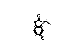 CCN1C(=O)Cc2ccc(O)cc21